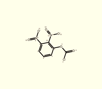 O=C(Cl)Oc1cccc([N+](=O)[O-])c1[N+](=O)[O-]